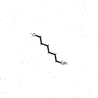 CCCCCCCCC[O]